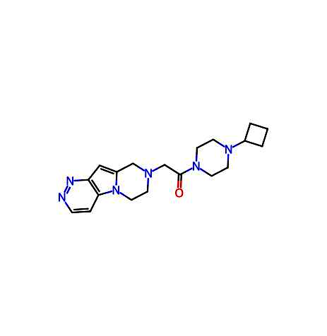 O=C(CN1CCn2c(cc3nnccc32)C1)N1CCN(C2CCC2)CC1